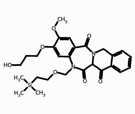 COc1cc2c(cc1OCCCO)N(COCC[Si](C)(C)C)C(=O)C1C(=O)c3ccccc3CN1C2=O